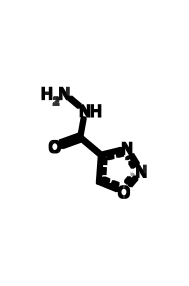 NNC(=O)c1conn1